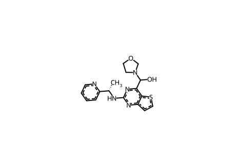 C[C@H](Nc1nc(C(O)N2CCOC2)c2sccc2n1)c1ccccn1